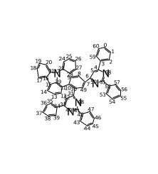 c1ccc(-c2cc(-c3ccc(-c4cccc5c6ccccc6n(-c6ccccc6)c45)c(-c4cc(-c5ccccc5)nc(-c5ccccc5)n4)c3)nc(-c3ccccc3)n2)cc1